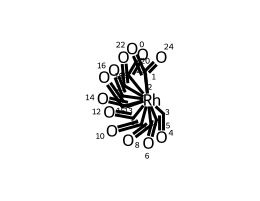 O=[CH][Rh]([CH]=O)([CH]=O)([CH]=O)([CH]=O)([CH]=O)([CH]=O)([CH]=O)([CH]=O)([CH]=O)([CH]=O)[CH]=O